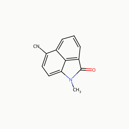 [C-]#[N+]c1ccc2c3c(cccc13)C(=O)N2C